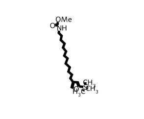 COC(=O)NCCCCCCCCCCCCCc1coc([Si](C)(C)C)c1